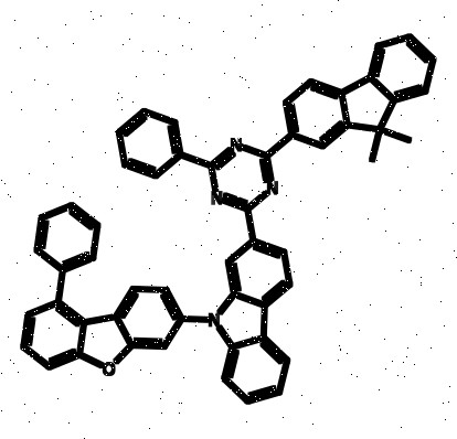 CC1(C)c2ccccc2-c2ccc(-c3nc(-c4ccccc4)nc(-c4ccc5c6ccccc6n(-c6ccc7c(c6)oc6cccc(-c8ccccc8)c67)c5c4)n3)cc21